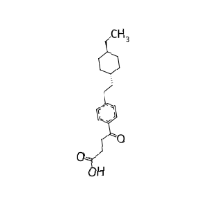 CC[C@H]1CC[C@H](CCc2ccc(C(=O)CCC(=O)O)cc2)CC1